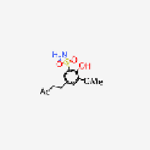 COc1cc(CCC(C)=O)cc(S(N)(=O)=O)c1O